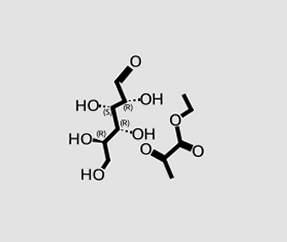 CCOC(=O)C(C)=O.O=C[C@H](O)[C@@H](O)[C@H](O)[C@H](O)CO